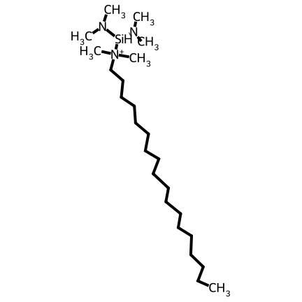 CCCCCCCCCCCCCCCCCC[N+](C)(C)[SiH](N(C)C)N(C)C